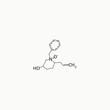 C=CCC1CCC(O)C[N+]1([O-])Cc1ccccc1